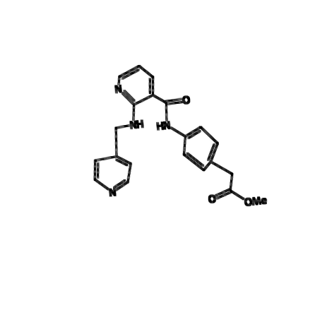 COC(=O)Cc1ccc(NC(=O)c2cccnc2NCc2ccncc2)cc1